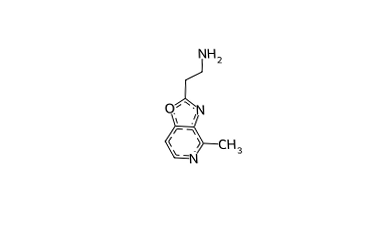 Cc1nccc2oc(CCN)nc12